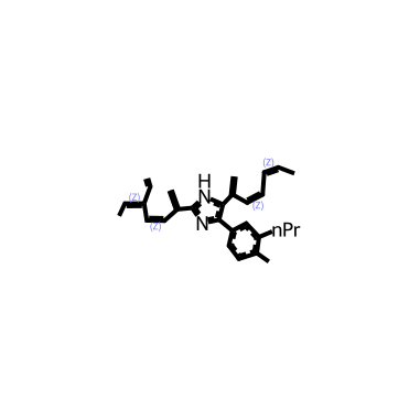 C=CC(/C=C\C(=C)c1nc(-c2ccc(C)c(CCC)c2)c(C(=C)/C=C\C=C/C)[nH]1)=C/C